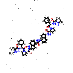 CN[C@@H](C)C(=O)N[C@H](C(=O)N1CCC[C@H]1C(=O)N[C@@H]1CCc2c(NC(=O)c3cccc4c3CC[C@H]4NC(=O)[C@@H]3CCCN3C(=O)[C@@H](NC(=O)[C@H](C)NC)C3CCCCC3)cccc21)C1CCCCC1